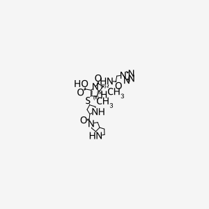 CC(NC(=O)Cn1cnnn1)[C@H]1C(=O)N2C(C(=O)O)=C(SC3CNC(C(=O)N4CC5CCNC5C4)C3)[C@H](C)[C@H]12